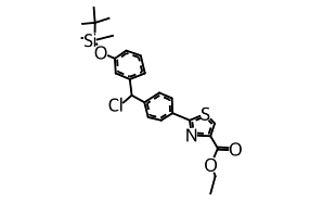 CCOC(=O)c1csc(-c2ccc(C(Cl)c3cccc(O[Si](C)(C)C(C)(C)C)c3)cc2)n1